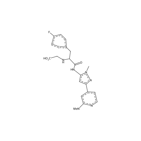 CNc1cc(-c2cc(NC(=O)C(Cc3ccc(F)cc3)NCC(=O)O)n(C)n2)ccn1